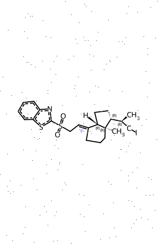 C[C@@H](CI)[C@H]1CC[C@H]2/C(=C/CS(=O)(=O)c3nc4ccccc4s3)CCC[C@]12C